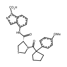 COc1ccc(C2(C(=O)N3CSC[C@@H]3C(=O)Nc3cccc4c3cnn4C(=O)O)CCCC2)cc1